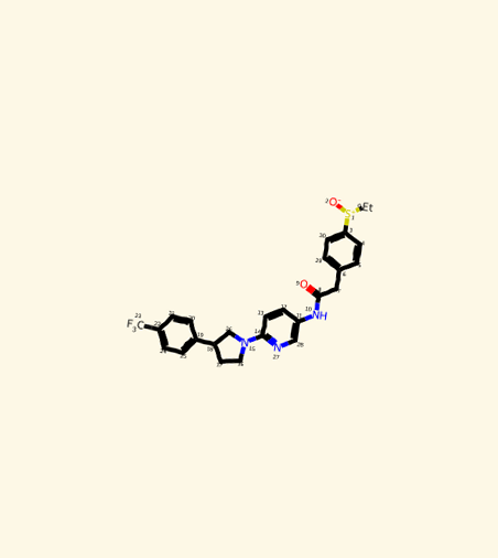 CC[S+]([O-])c1ccc(CC(=O)Nc2ccc(N3CCC(c4ccc(C(F)(F)F)cc4)C3)nc2)cc1